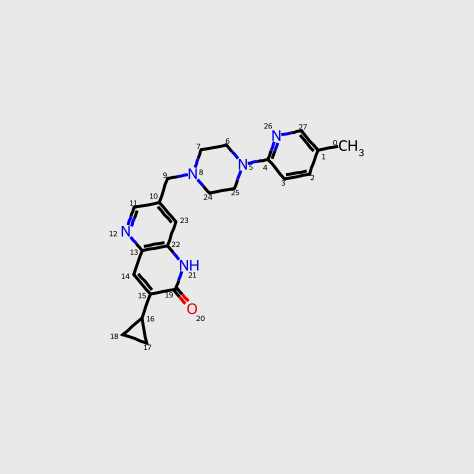 Cc1ccc(N2CCN(Cc3cnc4cc(C5CC5)c(=O)[nH]c4c3)CC2)nc1